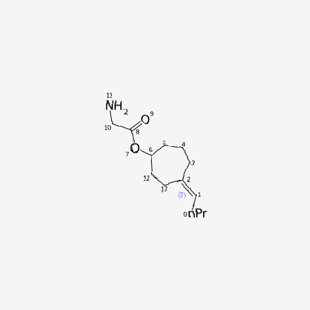 CCC/C=C1/CCCC(OC(=O)CN)CC1